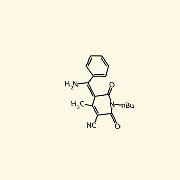 CCCCN1C(=O)C(C#N)=C(C)C(=C(N)c2ccccc2)C1=O